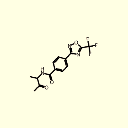 CC(=O)C(C)NC(=O)c1ccc(-c2noc(C(F)(F)F)n2)cc1